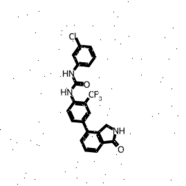 O=C(Nc1cccc(Cl)c1)Nc1ccc(-c2cccc3c2CNC3=O)cc1C(F)(F)F